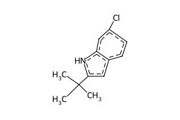 CC(C)(C)c1cc2ccc(Cl)cc2[nH]1